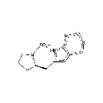 O=S(=O)(O)N1CCC[C@@H]1Cc1cc2cncnc2[nH]1